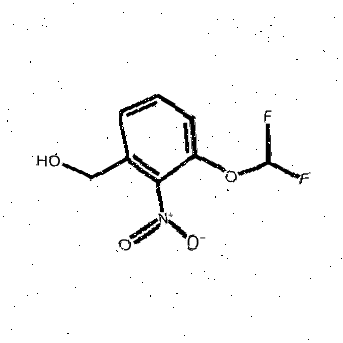 O=[N+]([O-])c1c([CH]O)cccc1OC(F)F